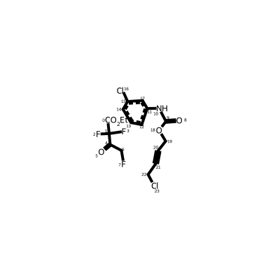 CCOC(=O)C(F)(F)C(=O)CF.O=C(Nc1cccc(Cl)c1)OCC#CCCl